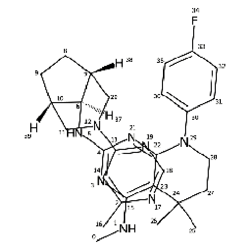 CNc1nc(N[C@@H]2[C@@H]3CC[C@H]2CN(c2cc(C)ncn2)C3)nc2c1C(C)(C)CCN2c1ccc(F)cc1